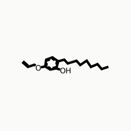 C=CCOc1ccc(CCCCCCCCC)c(O)c1